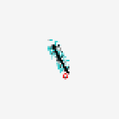 O=[C]C(F)(F)C(F)(F)C(F)(F)C(F)(F)C(F)(F)C(F)(F)C(F)(F)F